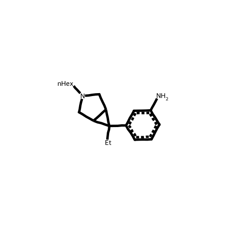 CCCCCCN1CC2C(C1)C2(CC)c1cccc(N)c1